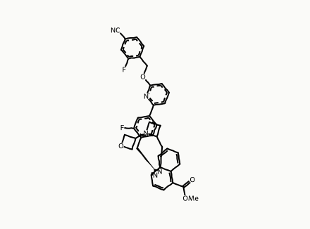 COC(=O)C1=C2C=CC=CC23C(=N[C@@H](Cc2ccc(-c4cccc(OCc5ccc(C#N)cc5F)n4)cc2F)N3CC2CCN2C2COC2)C=C1